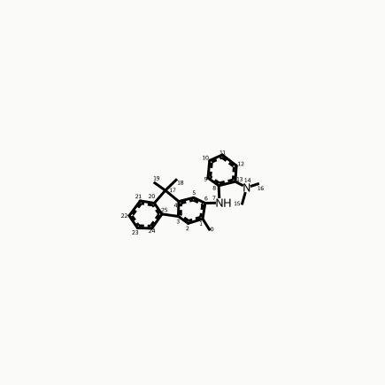 Cc1cc2c(cc1Nc1ccccc1N(C)C)C(C)(C)c1ccccc1-2